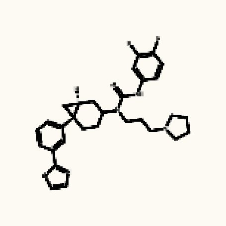 O=C(Nc1ccc(F)c(F)c1)N(CCCN1CCCC1)C1CC[C@]2(c3cccc(-c4ncco4)c3)C[C@H]2C1